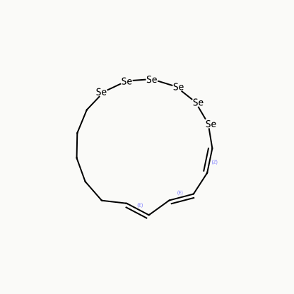 C1=C\[Se][Se][Se][Se][Se][Se]CCCCC/C=C/C=C/1